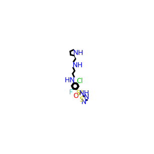 [O-][S+](Nc1ncns1)c1cc(Cl)c(NCCCCNCC[C@H]2CCCN2)cc1F